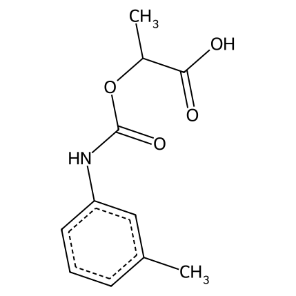 Cc1cccc(NC(=O)OC(C)C(=O)O)c1